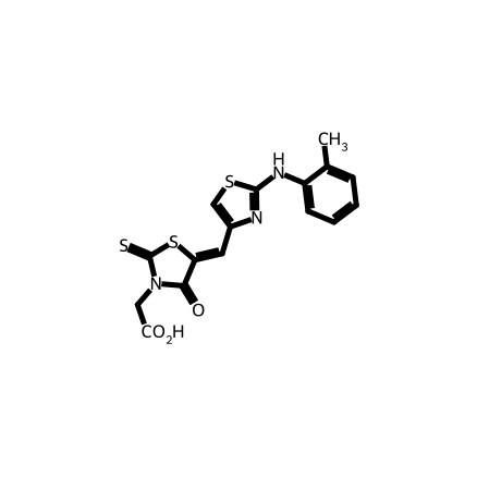 Cc1ccccc1Nc1nc(/C=C2\SC(=S)N(CC(=O)O)C2=O)cs1